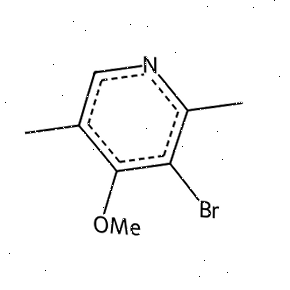 COc1c(C)cnc(C)c1Br